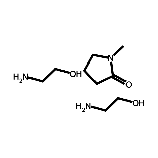 CN1CCCC1=O.NCCO.NCCO